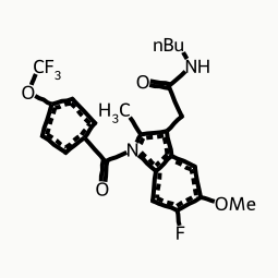 CCCCNC(=O)Cc1c(C)n(C(=O)c2ccc(OC(F)(F)F)cc2)c2cc(F)c(OC)cc12